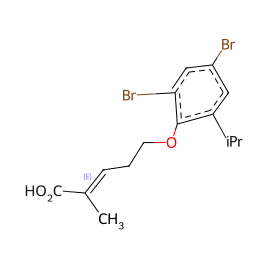 C/C(=C\CCOc1c(Br)cc(Br)cc1C(C)C)C(=O)O